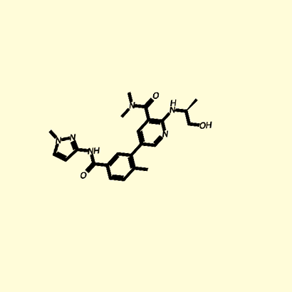 Cc1ccc(C(=O)Nc2ccn(C)n2)cc1-c1cnc(N[C@@H](C)CO)c(C(=O)N(C)C)c1